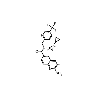 Cc1cc2cc(C(=O)N(Cc3ccc(C(F)(F)F)cn3)[C@H]3C[C@@H]3C3CC3)ccc2nc1N